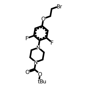 CC(C)(C)OC(=O)N1CCN(c2c(F)cc(OCCBr)cc2F)CC1